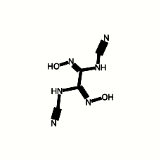 N#CNC(=N/O)/C(=N\O)NC#N